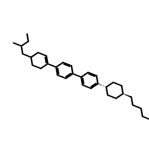 CCCCC[C@H]1CC[C@H](c2ccc(-c3ccc(C4=CCC(CC(C)CC)CC4)cc3)cc2)CC1